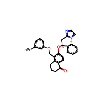 CCCc1cccc(OCc2c(O[C@@H](Cc3ncc[nH]3)c3ccccc3)ccc3c2CCCC3=O)c1